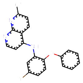 CCCc1ccc2c(Nc3cc(Br)ccc3Oc3ccccc3)ccnc2n1